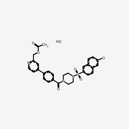 CC(=O)OCc1cc(-c2ccc(C(=O)N3CCN(S(=O)(=O)c4ccc5cc(Cl)ccc5c4)CC3)cc2)ccn1.Cl